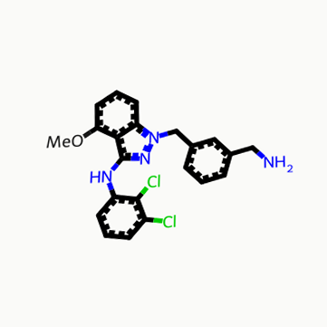 COc1cccc2c1c(Nc1cccc(Cl)c1Cl)nn2Cc1cccc(CN)c1